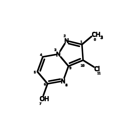 Cc1nn2ccc(O)nc2c1Cl